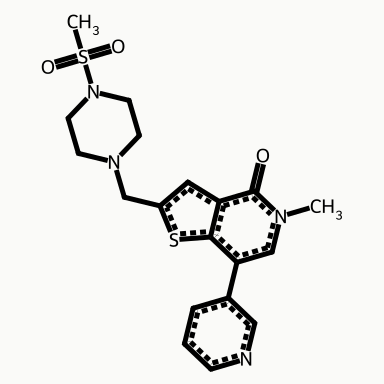 Cn1cc(-c2cccnc2)c2sc(CN3CCN(S(C)(=O)=O)CC3)cc2c1=O